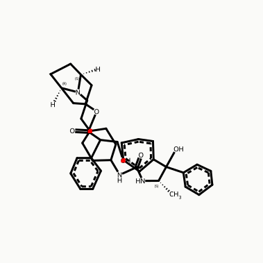 C[C@H](NC(=O)NC1CCC(CCN2[C@@H]3CC[C@H]2CC(OC(=O)C(CO)c2ccccc2)C3)CC1)C(O)(c1ccccc1)c1ccccc1